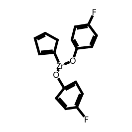 Fc1ccc([O][Zr]([O]c2ccc(F)cc2)[C]2=CC=CC2)cc1